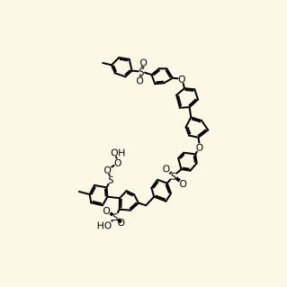 Cc1ccc(S(=O)(=O)c2ccc(Oc3ccc(-c4ccc(Oc5ccc(S(=O)(=O)c6ccc(Cc7ccc(-c8ccc(C)cc8SOOO)c(S(=O)(=O)O)c7)cc6)cc5)cc4)cc3)cc2)cc1